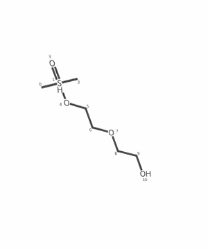 C[SH](C)(=O)OCCOCCO